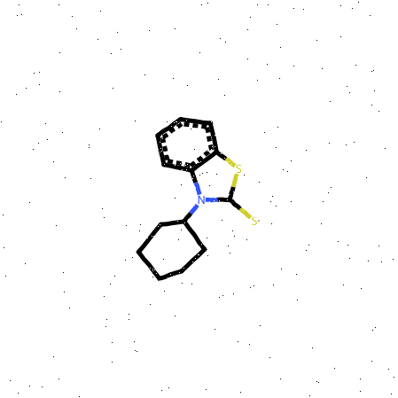 [S]C1Sc2ccccc2N1C1CCCCC1